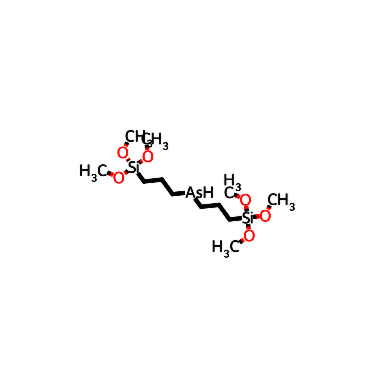 CO[Si](CCC[AsH]CCC[Si](OC)(OC)OC)(OC)OC